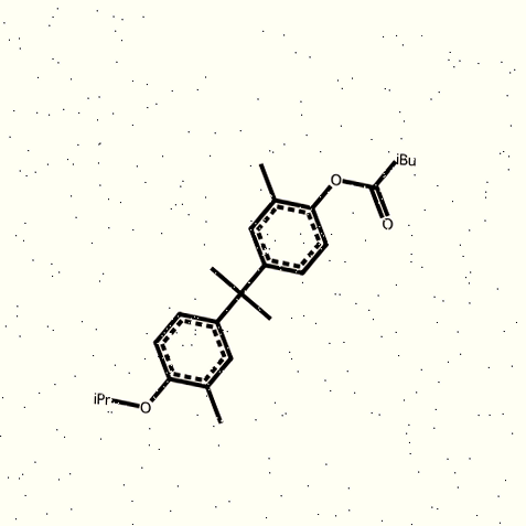 CCC(C)C(=O)Oc1ccc(C(C)(C)c2ccc(OC(C)C)c(C)c2)cc1C